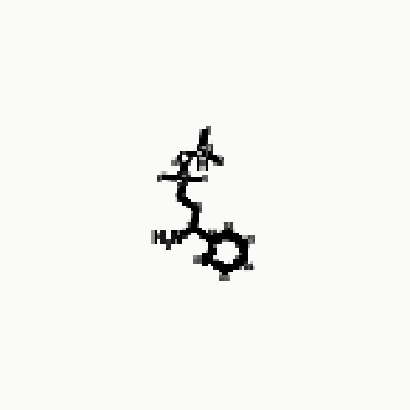 C[SiH](C)O[Si](C)(C)CCC(N)c1ccccn1